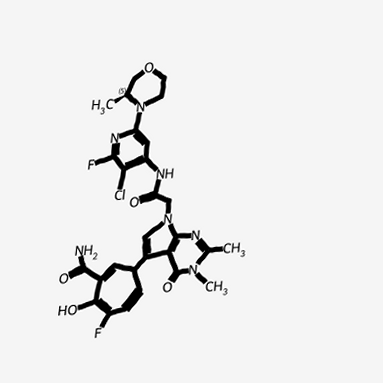 Cc1nc2c(c(C3C#CC(F)=C(O)C(C(N)=O)=C3)cn2CC(=O)Nc2cc(N3CCOC[C@@H]3C)nc(F)c2Cl)c(=O)n1C